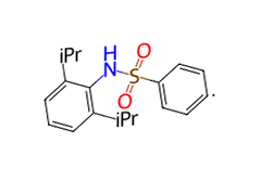 CC(C)c1cccc(C(C)C)c1NS(=O)(=O)c1cc[c]cc1